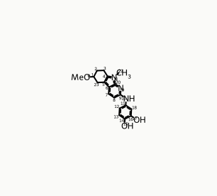 COC1CCc2c(c3ccc(Nc4ccc(O)c(O)c4)nc3n2C)C1